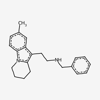 Cc1ccc2c(c1)c(CCNCc1ccccc1)c1n2CCCC1